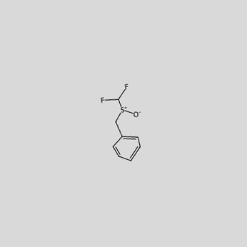 [O-][S+](Cc1ccccc1)C(F)F